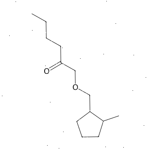 CCCCC(=O)COCC1CCCC1C